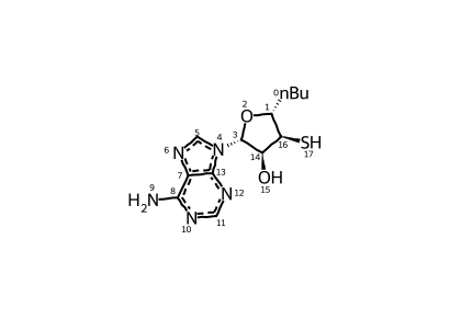 CCCC[C@H]1O[C@@H](n2cnc3c(N)ncnc32)[C@H](O)[C@@H]1S